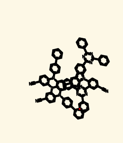 N#Cc1ccc2c(c1)B1c3cc(C#N)ccc3N(c3ccc(-c4ccccc4)cc3)c3cc(-c4ccc5c(c4)c4ccc(-c6nc(-c7ccccc7)nc(-c7ccccc7)n6)cc4n5-c4ccc(C#N)cc4-c4nc(-c5ccccc5)nc(-c5ccccc5)n4)cc(c31)N2c1ccc(-c2ccccc2)cc1